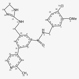 COc1cc(CNC(=O)c2cc(CNC3=NCCN3)cc(-c3ccnc(C)c3)c2)ccc1Cl